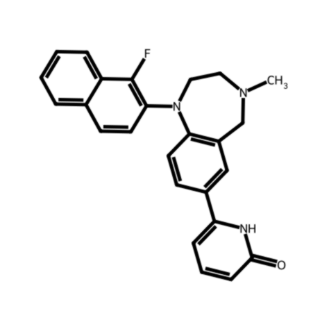 CN1CCN(c2ccc3ccccc3c2F)c2ccc(-c3cccc(=O)[nH]3)cc2C1